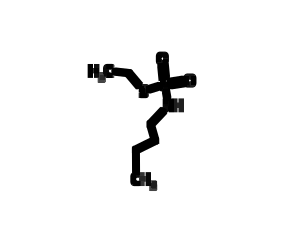 CCCCNS(=O)(=O)SCC